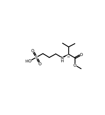 COC(=O)[C@@H](NCCCS(=O)(=O)O)C(C)C